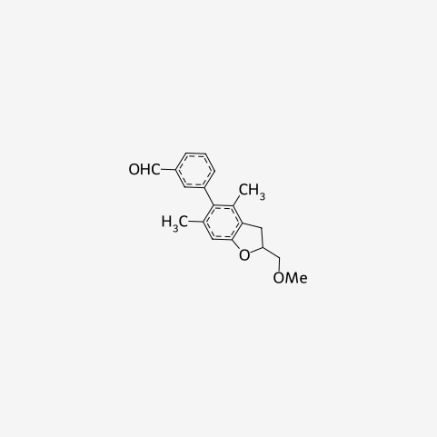 COCC1Cc2c(cc(C)c(-c3cccc(C=O)c3)c2C)O1